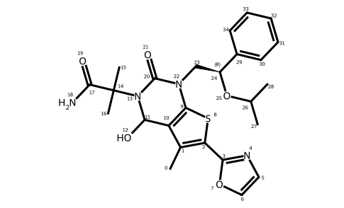 Cc1c(-c2ncco2)sc2c1C(O)N(C(C)(C)C(N)=O)C(=O)N2C[C@H](OC(C)C)c1ccccc1